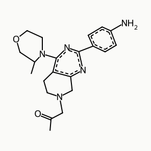 CC(=O)CN1CCc2c(nc(-c3ccc(N)cc3)nc2N2CCOCC2C)C1